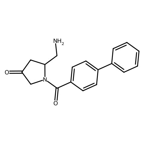 NCC1CC(=O)CN1C(=O)c1ccc(-c2ccccc2)cc1